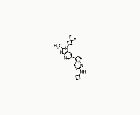 Cc1nc2ncc(-c3ccn4nc(NC5CCC5)ncc34)cc2n1C1CC(F)(F)C1